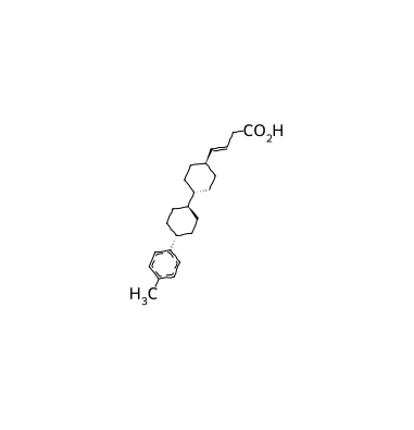 Cc1ccc([C@H]2CC[C@H]([C@H]3CC[C@H](C=CCC(=O)O)CC3)CC2)cc1